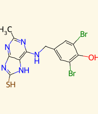 Cc1nc(NCc2cc(Br)c(O)c(Br)c2)c2[nH]c(S)nc2n1